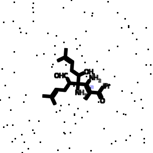 CC(C)=CCC(O)C(N)(/C(N)=C(\C)C(=O)C(C)C)C(C=O)CC=C(C)C